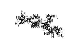 CO[C@H]1[C@H](n2cnc3c(N)ncnc32)OC(COP(O)(=S)OP(=O)(O)OP(=O)(O)OC[C@H]2OC(n3c[n+](C)c4c(=O)[nH]c(N)nc43)[C@H](O)[C@@H]2CCN(C)C)[C@H]1P(=O)([O-])OC[C@H]1O[C@@H](n2cnc3c(=O)[nH]c(N)nc32)[C@H](O)[C@@H]1O